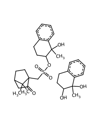 CC1(O)c2ccccc2CCC1O.CC1(O)c2ccccc2CCC1OS(=O)(=O)CC12CCC(CC1=O)C2(C)C